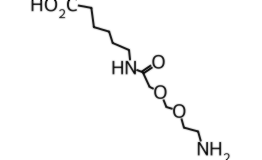 NCCOCOCC(=O)NCCCCCC(=O)O